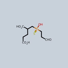 O=CCCP(O)(=S)CC(CCC(=O)O)C(=O)O